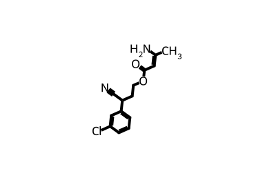 C/C(N)=C/C(=O)OCCC(C#N)c1cccc(Cl)c1